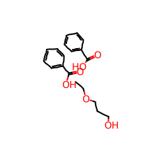 CCOCCCO.O=C(O)c1ccccc1.O=C(O)c1ccccc1